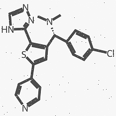 CN(C)[C@H](c1ccc(Cl)cc1)c1cc(-c2ccncc2)sc1-c1nnc[nH]1